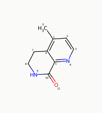 Cc1ccnc2c1CCNC2=O